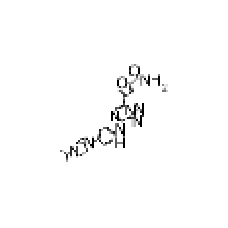 CC(C)N1CC2CC1CN2c1ccc(Nc2ncc(-c3coc(C(N)=O)c3)n3ncnc23)cc1